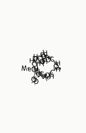 C=C1C[C@@H]2CC[C@@]34C[C@H]5OC6C(O3)[C@H]3O[C@H](CC[C@@H]3O[C@H]6C5O4)CC(=O)C[C@@H]3[C@@H](OC)[C@@H](C[C@H]4COC(C)(C)O4)O[C@H]3C[C@H]3O[C@@H](CC[C@@H]1O2)C[C@@H](C)C3=C